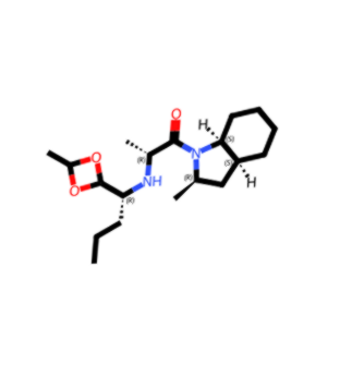 CCC[C@@H](N[C@H](C)C(=O)N1[C@H](C)C[C@@H]2CCCC[C@@H]21)C1OC(C)O1